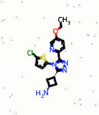 CCOc1ccc(-c2nnc([C@H]3C[C@H](N)C3)n2-c2ccc(Cl)s2)nc1